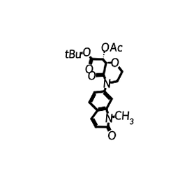 CC(=O)O[C@@H](C(=O)OC(C)(C)C)[C@H]1OCCN(c2ccc3ccc(=O)n(C)c3c2)C1=O